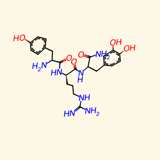 N=C(N)NCCC[C@@H](NC(=O)C(N)Cc1ccc(O)cc1)C(=O)NC(Cc1ccc(O)c(O)c1)C(N)=O